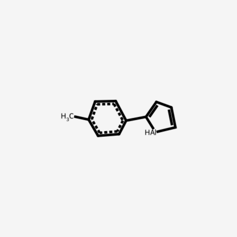 Cc1ccc([C]2=CC=[CH][AlH]2)cc1